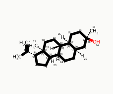 C=C(C)[C@H]1CC[C@H]2[C@@H]3CC[C@@H]4C[C@](C)(O)CC[C@@H]4[C@H]3CC[C@]12C